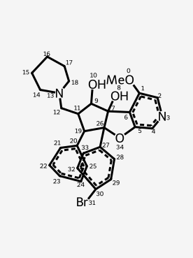 COc1cncc2c1C1(O)C(O)C(CN3CCCCC3)C(c3ccccc3)C1(c1ccc(Br)cc1)O2